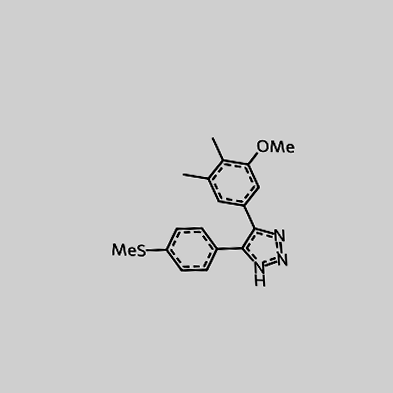 COc1cc(-c2nn[nH]c2-c2ccc(SC)cc2)cc(C)c1C